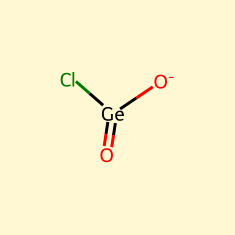 [O]=[Ge]([O-])[Cl]